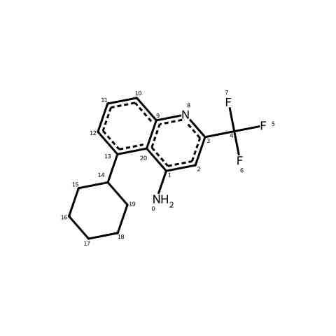 Nc1cc(C(F)(F)F)nc2cccc(C3CCCCC3)c12